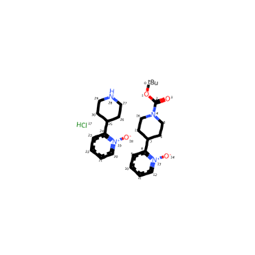 CC(C)(C)OC(=O)N1CCC(c2cccc[n+]2[O-])CC1.Cl.[O-][n+]1ccccc1C1CCNCC1